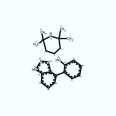 CC1(C)CCCC(C)(C)N1.Oc1ccccc1-c1cccc2[nH]nnc12